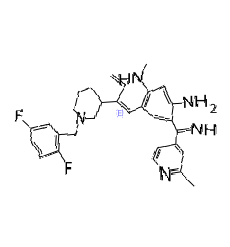 C=C/C(=C\c1cc(C(=N)c2ccnc(C)c2)c(N)cc1NC)C1CCCN(Cc2cc(F)ccc2F)C1